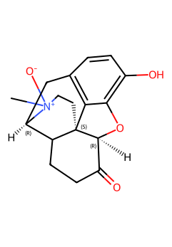 C[N+]1([O-])CC[C@]23c4c5ccc(O)c4O[C@H]2C(=O)CCC3[C@H]1C5